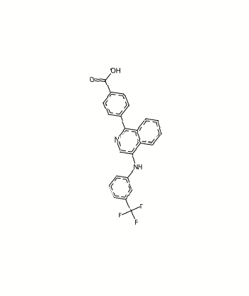 O=C(O)c1ccc(-c2ncc(Nc3cccc(C(F)(F)F)c3)c3ccccc23)cc1